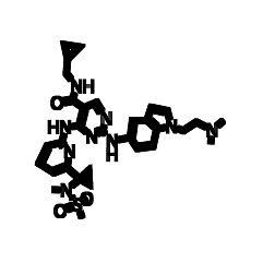 CN(C)CCn1ccc2cc(Nc3ncc(C(=O)NCC4CC4)c(Nc4cccc(C5(N(C)S(C)(=O)=O)CC5)n4)n3)ccc21